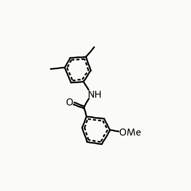 COc1cccc(C(=O)Nc2cc(C)cc(C)c2)c1